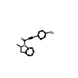 CC1Cc2ccccc2N1C(=O)C#Cc1ccc(C(C)(C)C)cc1